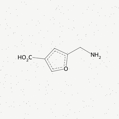 NCc1cc(C(=O)O)co1